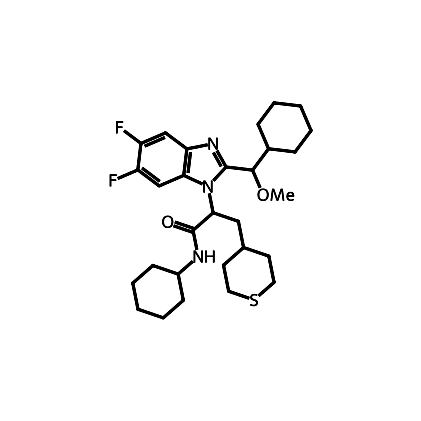 COC(c1nc2cc(F)c(F)cc2n1C(CC1CCSCC1)C(=O)NC1CCCCC1)C1CCCCC1